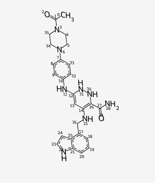 CC(=O)N1CCN(c2ccc(NC3=CC(NCc4cccc5[nH]ccc45)=C(C(N)=O)NN3)cc2)CC1